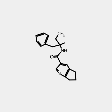 CC(Cc1ccccc1)(CC(F)(F)F)NC(=O)c1cnc2c(c1)CCC2